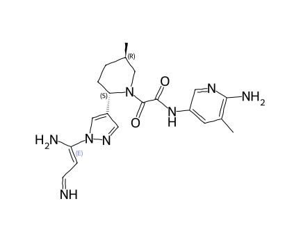 Cc1cc(NC(=O)C(=O)N2C[C@H](C)CC[C@H]2c2cnn(/C(N)=C/C=N)c2)cnc1N